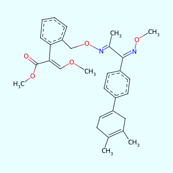 CO/C=C(/C(=O)OC)c1ccccc1CO/N=C(C)/C(=N\OC)c1ccc(C2=CCC(C)=C(C)C2)cc1